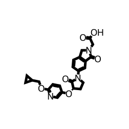 O=C(O)CN1Cc2ccc(N3CC[C@@H](Oc4ccc(OCC5CC5)nc4)C3=O)cc2C1=O